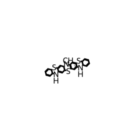 CN1c2cc3c(cc2SC2C=C4NC5C=CC=CC5SC4=CC21)NC1C=CC=CC1S3